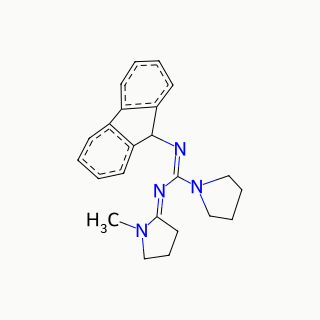 CN1CCCC1=NC(=NC1c2ccccc2-c2ccccc21)N1CCCC1